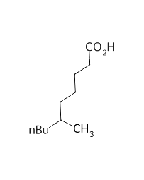 CCCCC(C)CCCCC(=O)O